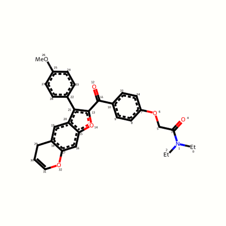 CCN(CC)C(=O)COc1ccc(C(=O)c2oc3cc4c(cc3c2-c2ccc(OC)cc2)CC=CO4)cc1